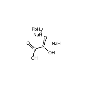 O=S(O)S(=O)O.[NaH].[NaH].[PbH2]